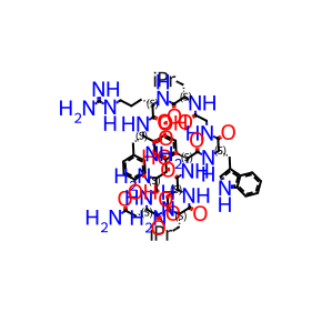 CC(C)C[C@H](NC(=O)CNC(=O)[C@H](Cc1c[nH]c2ccccc12)NC(=O)[C@H](CO)NC(=O)[C@H](CC(N)=O)NC(=O)[C@H](CC(C)C)NC(=O)[C@H](CC(N)=O)NC(=O)[C@@H](N)Cc1ccc(O)cc1)C(=O)N[C@@H](CCCNC(=N)N)C(=O)N[C@@H](Cc1ccc(O)cc1)C(N)=O